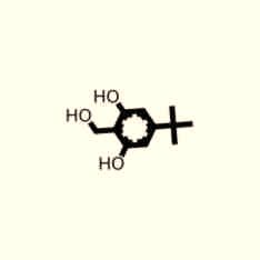 CC(C)(C)c1cc(O)c(CO)c(O)c1